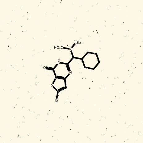 CC(C)(C)N(C(=O)O)C(c1nc2cc(Br)sc2c(=O)[nH]1)C1CCCCC1